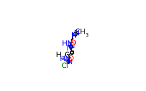 CC(C(=O)Nc1ncc(Cl)s1)c1cccc(-c2cnc(NC(=O)/C=C/CN3CCN(C)CC3)cn2)c1